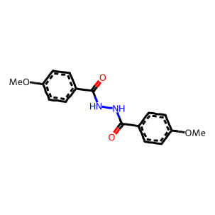 COc1ccc(C(=O)NNC(=O)c2ccc(OC)cc2)cc1